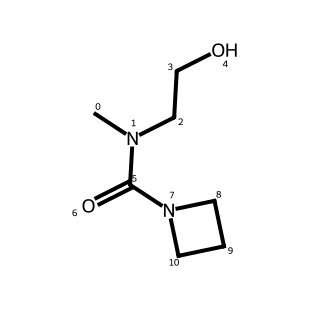 CN(CCO)C(=O)N1CCC1